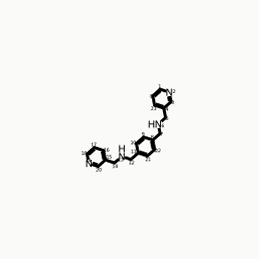 c1cncc(CNCc2ccc(CNCc3cccnc3)cc2)c1